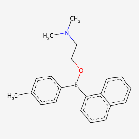 Cc1ccc(B(OCCN(C)C)c2cccc3ccccc23)cc1